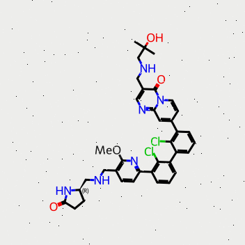 COc1nc(-c2cccc(-c3cccc(-c4ccn5c(=O)c(CNCC(C)(C)O)cnc5c4)c3Cl)c2Cl)ccc1CNC[C@H]1CCC(=O)N1